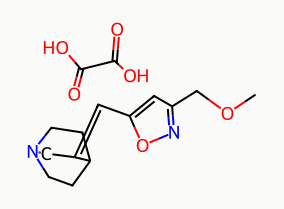 COCc1cc(/C=C2/CN3CCC2CC3)on1.O=C(O)C(=O)O